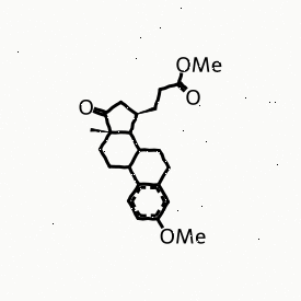 COC(=O)CC[C@@H]1CC(=O)[C@@]2(C)CCC3c4ccc(OC)cc4CCC3C12